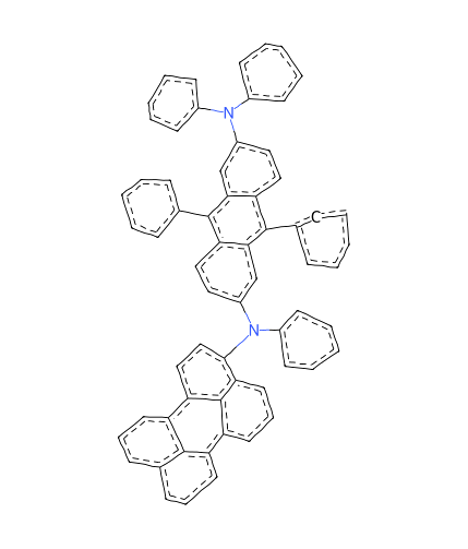 c1ccc(-c2c3ccc(N(c4ccccc4)c4ccc5c6cccc7cccc(c8cccc4c85)c76)cc3c(-c3ccccc3)c3ccc(N(c4ccccc4)c4ccccc4)cc23)cc1